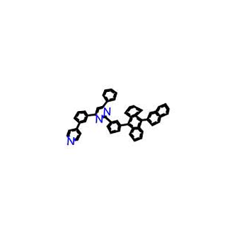 c1ccc(-c2cc(-c3cccc(-c4ccncc4)c3)nc(-c3cccc(-c4c5ccccc5c(-c5ccc6ccccc6c5)c5ccccc45)c3)n2)cc1